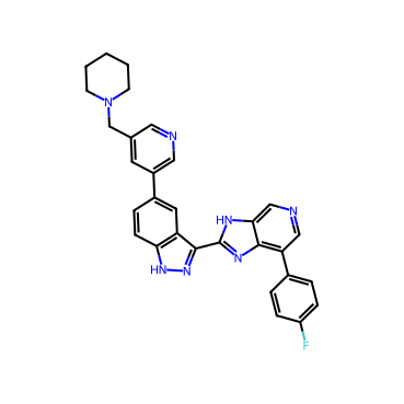 Fc1ccc(-c2cncc3[nH]c(-c4n[nH]c5ccc(-c6cncc(CN7CCCCC7)c6)cc45)nc23)cc1